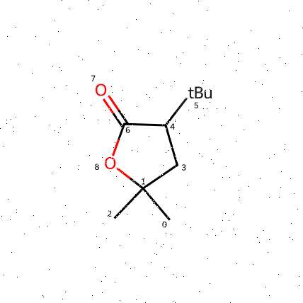 CC1(C)CC(C(C)(C)C)C(=O)O1